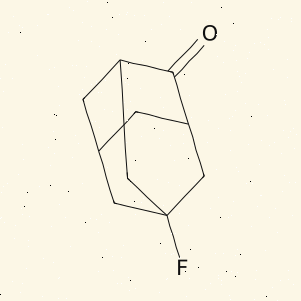 O=C1C2CC3CC1CC(F)(C3)C2